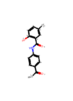 COC(=O)c1ccc(NC(=O)c2cc(C(F)(F)F)ccc2O)cc1